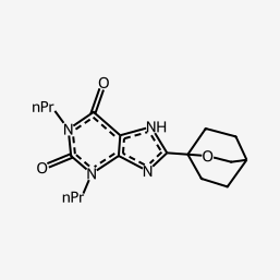 CCCn1c(=O)c2[nH]c(C34CCC(CC3)CO4)nc2n(CCC)c1=O